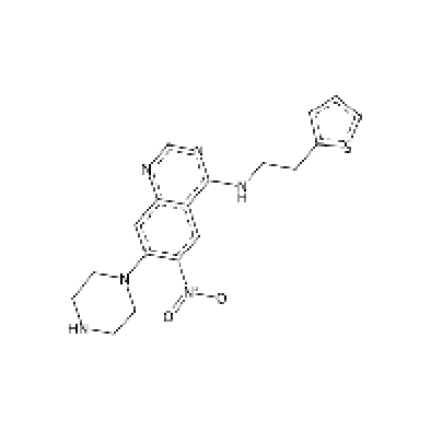 O=[N+]([O-])c1cc2c(NCCc3cccs3)ncnc2cc1N1CCNCC1